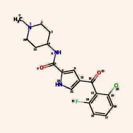 CN1CCC(NC(=O)c2cc(C(=O)c3c(F)cccc3Cl)c[nH]2)CC1